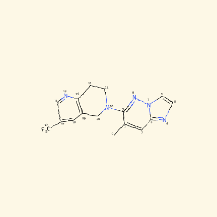 Cc1cc2nccn2nc1N1CCc2ncc(C(F)(F)F)cc2C1